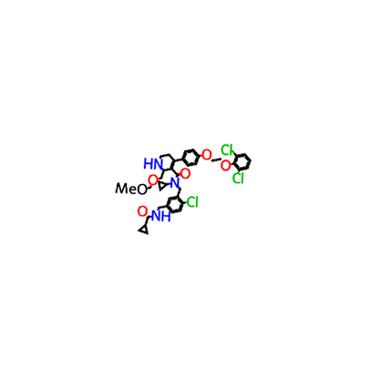 COCOCC1NCCC(c2ccc(OCCOc3c(Cl)cccc3Cl)cc2)=C1C(=O)N(Cc1cc(CNC(=O)C2CC2)ccc1Cl)C1CC1